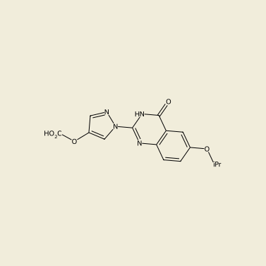 CC(C)Oc1ccc2nc(-n3cc(OC(=O)O)cn3)[nH]c(=O)c2c1